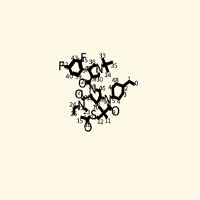 CCC1CCC(N(C(=O)C(C)(C)CSC(C)=O)[C@H]2C[C@@H](C(=O)N(C)CC)N(C(=O)[C@@H]3CN(C(C)(C)C)C[C@H]3c3ccc(F)cc3F)C2)CC1